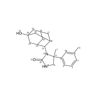 Cc1cccc(C2(C)CNC(=O)N2C2C3CC4CC2CC(O)(C4)C3)c1